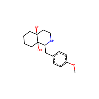 COc1ccc(C[C@@H]2NCC[C@@]3(O)CCCCC23O)cc1